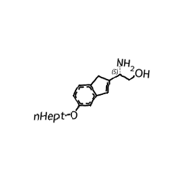 CCCCCCCOc1ccc2c(c1)C=C([C@H](N)CO)C2